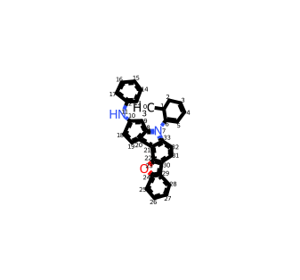 CC1CC=CC=C1n1c2cc(Nc3ccccc3)ccc2c2c3oc4ccccc4c3ccc21